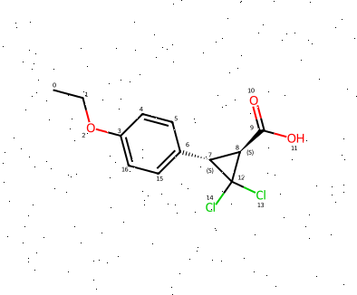 CCOc1ccc([C@@H]2[C@@H](C(=O)O)C2(Cl)Cl)cc1